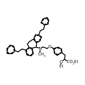 CCOC(=O)C(Cc1ccc(OCCN(C)C2c3ccc(CCc4ccccc4)cc3CCc3c(CCc4ccccc4)cccc32)cc1)OCC